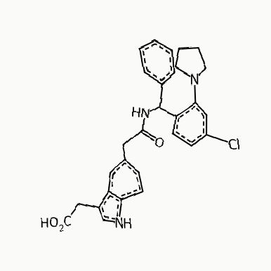 O=C(O)Cc1c[nH]c2ccc(CC(=O)NC(c3ccccc3)c3ccc(Cl)cc3N3CCCC3)cc12